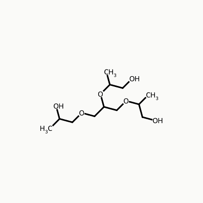 CC(O)COCC(COC(C)CO)OC(C)CO